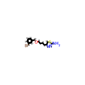 NC1=NN=C(CCCCOCc2cccc(Br)c2)CS1